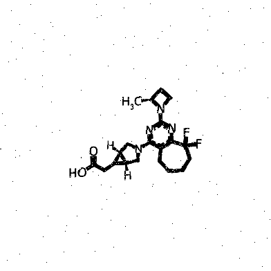 C[C@H]1CCN1c1nc(N2C[C@@H]3C(CC(=O)O)[C@@H]3C2)c2c(n1)C(F)(F)CCCC2